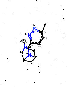 CCN1CC2CC(C1)N2Cc1ccc(C)nn1